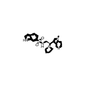 Cn1cc([C@H](CNS(=O)(=O)c2ccc3cc[nH]c3c2)N2CCCC2)c2cnccc21